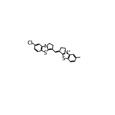 Cc1ccc2sc3[n+](c2c1)CCC3=CC1=C2Sc3ccc(Cl)cc3N2CC1